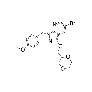 COc1ccc(Cn2nc(OCC3COCCO3)c3cc(Br)cnc32)cc1